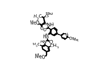 COCc1cc(C)c(NC(=O)Nc2cc(-c3ccc(OC)nc3)ccc2C(=O)N[C@H](C(=O)OC)C(C)OC(C)(C)C)c(C)c1